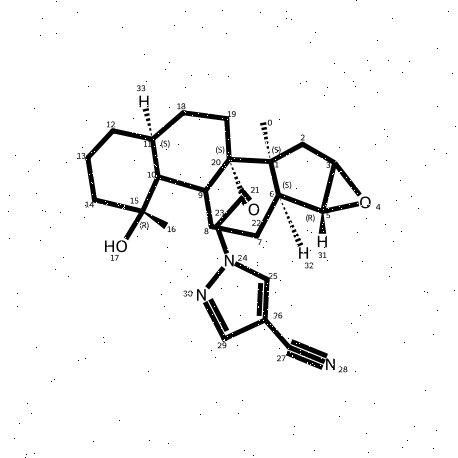 C[C@]12CC3O[C@@H]3[C@H]1CCC1C3[C@@H](CCC[C@@]3(C)O)CC[C@]12C(=O)Cn1cc(C#N)cn1